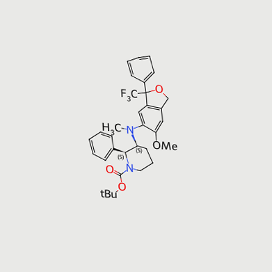 COc1cc2c(cc1N(C)[C@H]1CCCN(C(=O)OC(C)(C)C)[C@H]1c1ccccc1)C(c1ccccc1)(C(F)(F)F)OC2